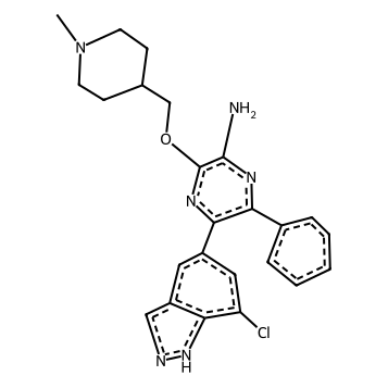 CN1CCC(COc2nc(-c3cc(Cl)c4[nH]ncc4c3)c(-c3ccccc3)nc2N)CC1